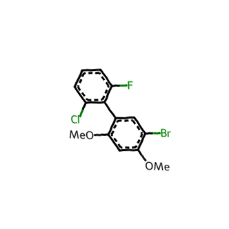 COc1cc(OC)c(-c2c(F)cccc2Cl)cc1Br